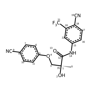 C[C@](O)(COc1ccc(C#N)cc1)C(=O)Nc1ccc(C#N)c(C(F)(F)F)c1